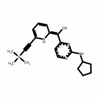 C[Si](C)(C)C#CC1=CC=C/C(=C(\C#N)c2ccnc(NC3CCCC3)n2)N1